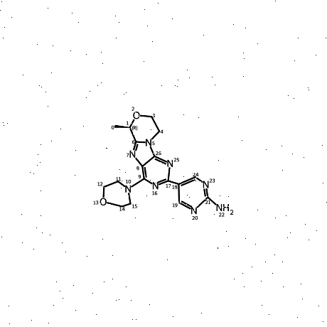 C[C@H]1OCCn2c1nc1c(N3CCOCC3)nc(-c3cnc(N)nc3)nc12